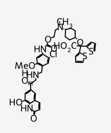 COc1cc(NC(=O)OCCN(C)[C@H]2CC[C@H](OC(C(=O)O)(c3cccs3)c3cccs3)CC2)c(Cl)cc1CNC[C@H](O)c1cc(O)c2[nH]c(=O)ccc2c1